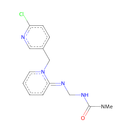 CNC(=O)NC/N=c1\ccccn1Cc1ccc(Cl)nc1